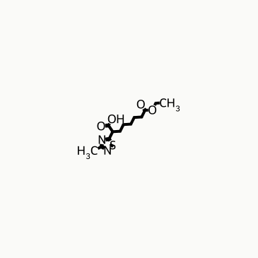 CCOC(=O)CCCCCC(C(=O)O)c1nc(C)ns1